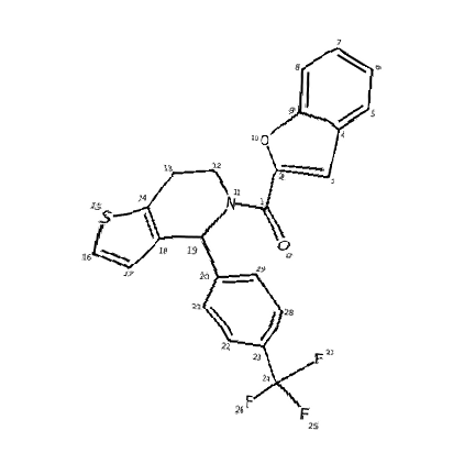 O=C(c1cc2ccccc2o1)N1CCc2sccc2C1c1ccc(C(F)(F)F)cc1